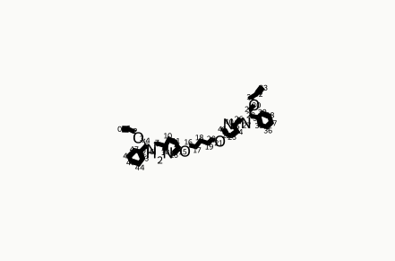 C#CCOC[C@H](/N=C/C(=C)/C=C\C(=C/N)OCCCCCOc1ccc(/C=N/[C@@H](COCC#C)c2ccccc2)nc1)c1ccccc1